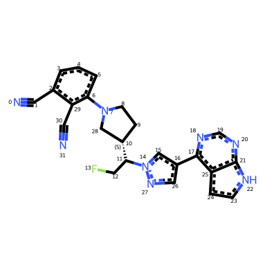 N#Cc1cccc(N2CC[C@H](C(CF)n3cc(-c4ncnc5[nH]ccc45)cn3)C2)c1C#N